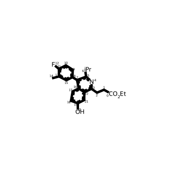 CCOC(=O)CCc1nc(C(C)C)c(-c2ccc(F)c(C)c2)c2ccc(O)cc12